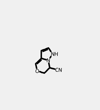 N#CC1COC=C2C=CNN21